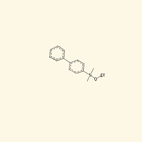 CCO[Si](C)(C)c1ccc(-c2ccccc2)cc1